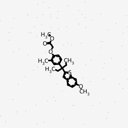 CCC(CC)(c1ccc(OCC(=O)OC)c(C)c1)c1cc2ccc(OC)cc2s1